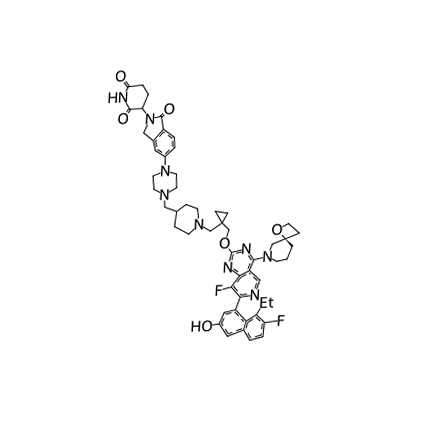 CCc1c(F)ccc2cc(O)cc(-c3ncc4c(N5CCC[C@@]6(CCO6)C5)nc(OCC5(CN6CCC(CN7CCN(c8ccc9c(c8)CN(C8CCC(=O)NC8=O)C9=O)CC7)CC6)CC5)nc4c3F)c12